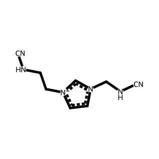 N#CNCC[n+]1ccn(CNC#N)c1